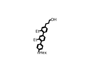 CCCCCCc1ccc(-c2ccc(-c3ccc(CCCO)cc3CC)cc2CC)cc1